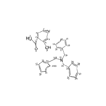 O=C(O)c1ccccc1O.c1ccc(CN(Cc2ccccc2)Cc2ccccc2)cc1